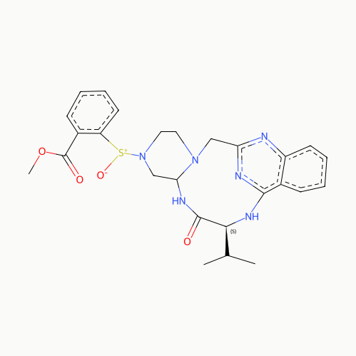 COC(=O)c1ccccc1[S+]([O-])N1CCN2Cc3nc(c4ccccc4n3)N[C@@H](C(C)C)C(=O)NC2C1